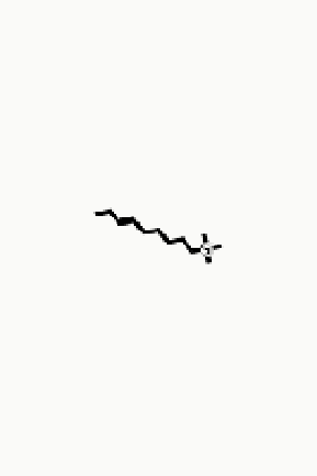 CCC=CCCCCC[Si](C)(C)C